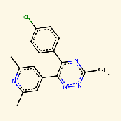 Cc1cc(-c2nnc([AsH2])nc2-c2ccc(Cl)cc2)cc(C)n1